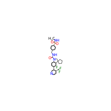 CNS(=O)(=O)c1ccc(CNC(=O)N2CC3(CCCC3)c3cc(-c4cnccc4C(F)(F)F)ccc32)cc1